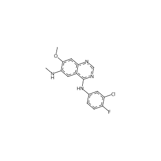 CNc1cc2c(Nc3ccc(F)c(Cl)c3)ncnc2cc1OC